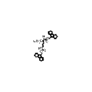 O=C(NCCC[C@@H](NC(=O)OCC1c2ccccc2-c2ccccc21)C(=O)O)OCC1c2ccccc2-c2ccccc21